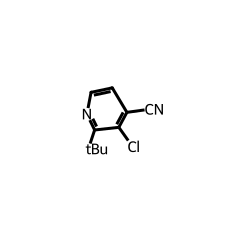 CC(C)(C)c1nccc(C#N)c1Cl